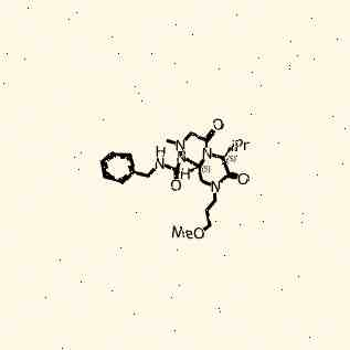 COCCCN1C[C@H]2N(C(=O)CN(C)N2C(=O)NCc2ccccc2)[C@@H](C(C)C)C1=O